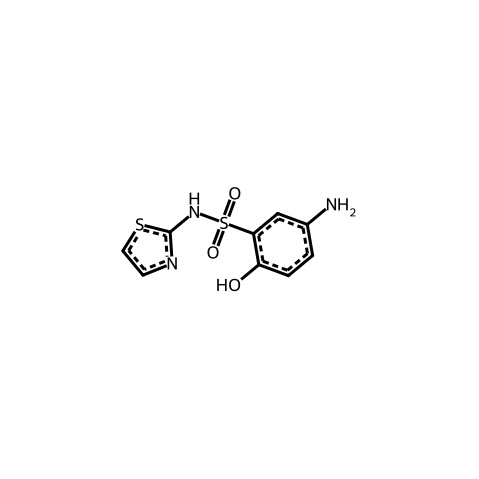 Nc1ccc(O)c(S(=O)(=O)Nc2nccs2)c1